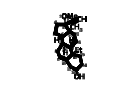 C#C[C@]1(OC)CC[C@H]2[C@@H]3CC=C4C[C@@H](O)CC[C@]4(CC)[C@H]3CC[C@@]21C